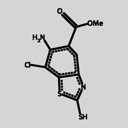 COC(=O)c1cc2nc(S)sc2c(Cl)c1N